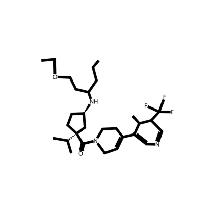 CCCC(CCOCC)N[C@@H]1CC[C@@](C(=O)N2CC=C(C3=CN=CC(C(F)(F)F)C3C)CC2)(C(C)C)C1